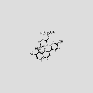 CC(=O)c1cnc2ccc(-c3ccc(O)cc3)nc2c1NC1CCC(CN(C)C)CC1